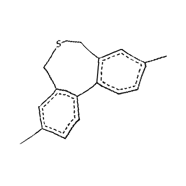 Cc1ccc2c(c1)CSCc1cc(C)ccc1-2